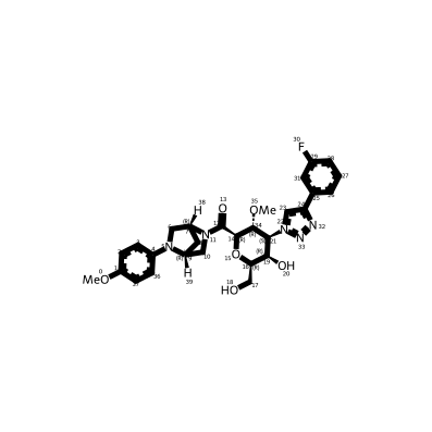 COc1ccc(N2C[C@H]3C[C@@H]2CN3C(=O)[C@@H]2O[C@H](CO)[C@H](O)[C@H](n3cc(-c4cccc(F)c4)nn3)[C@H]2OC)cc1